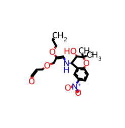 C=CCO/C(=C/N[C@H]1c2cc([N+](=O)[O-])ccc2OC(C)(C)[C@@H]1O)COCC=C=O